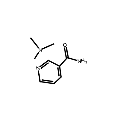 CN(C)C.NC(=O)c1cccnc1